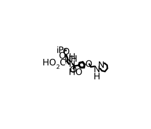 CC(C)OC(=O)N[C@@H](CNC(=O)c1ccc(OCCNC2=NCCCCC2)cc1O)C(=O)O